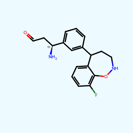 N[C@@H](CC=O)c1cccc(C2CCNOc3c(F)cccc32)c1